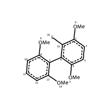 COc1ccc(OC)c(-c2c(OC)cccc2OC)c1I